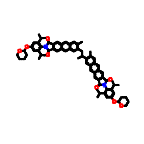 Cc1cc2cc3cc4c(cc3cc2cc1CC(C)c1cc2cc3cc5c(cc3cc2cc1C)C(=O)N(c1c(C(C)C)cc(OC2CCCCO2)cc1C(C)C)C5=O)C(=O)N(c1c(C(C)C)cc(OC2CCCCO2)cc1C(C)C)C4=O